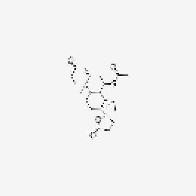 CC(=O)S[C@@H]1CC2=CC(=O)CC[C@]2(C)C2CC[C@@]3(C)C(CC[C@@]34CCC(=O)O4)C21